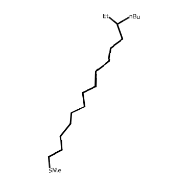 CCCCC(CC)CCCCCCCCCCCCSC